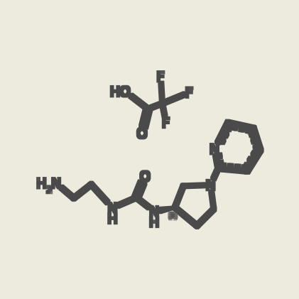 NCCNC(=O)N[C@@H]1CCN(c2ccccn2)C1.O=C(O)C(F)(F)F